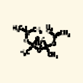 C=[Si](C)O[Si](C)(C)O[Si](C)(C)O[SiH](C)C